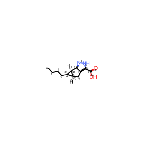 CCCC[C@@H]1[C@@H]2Cc3c(n[nH]c3C(=O)O)[C@H]12